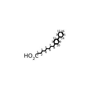 O=C(O)CCCCCCCCc1ccc(C2CC=CCC2)cc1